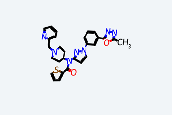 Cc1nnc(-c2cccc(-n3ccc(N(C(=O)c4cccs4)C4CCN(Cc5ccccn5)CC4)n3)c2)o1